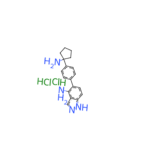 Cl.Cl.Nc1c(-c2ccc(C3(N)CCCC3)cc2)ccc2[nH]ncc12